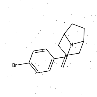 C=C1CC2CCC(C1)N2Cc1ccc(Br)cc1